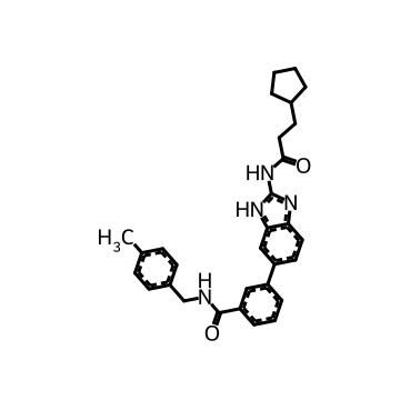 Cc1ccc(CNC(=O)c2cccc(-c3ccc4nc(NC(=O)CCC5CCCC5)[nH]c4c3)c2)cc1